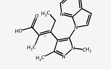 CC/C(=C(/C)C(=O)O)c1c(C)nn(C)c1-n1ccc2cccnc21